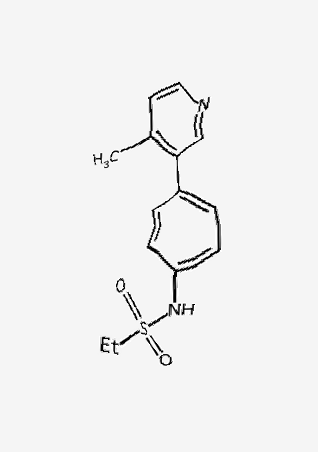 CCS(=O)(=O)Nc1ccc(-c2cnccc2C)cc1